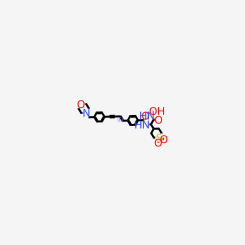 O=C(NC(C(=O)NO)C1CCS(=O)(=O)CC1)c1ccc(/C=C/C#Cc2ccc(CN3CCOCC3)cc2)cc1